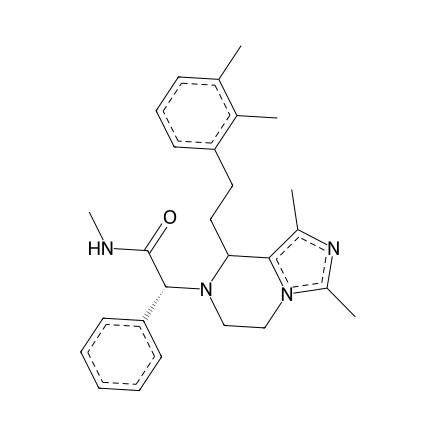 CNC(=O)[C@@H](c1ccccc1)N1CCn2c(C)nc(C)c2C1CCc1cccc(C)c1C